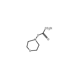 CCOC(=O)C(=O)ON1CCOCC1